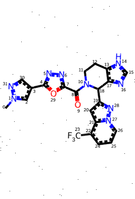 Cn1cc(-c2nnc(C(=O)N3CCc4[nH]cnc4C3c3cc4c(C(F)(F)F)cccn4n3)o2)cn1